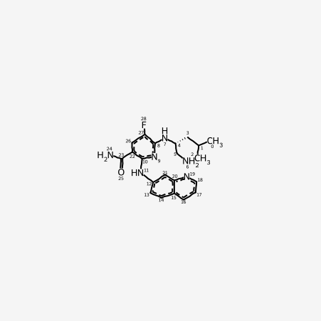 CC(C)C[C@H](CN)Nc1nc(Nc2ccc3cccnc3c2)c(C(N)=O)cc1F